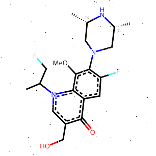 COc1c(N2C[C@@H](C)N[C@@H](C)C2)c(F)cc2c(=O)c(CO)cn(C(C)CF)c12